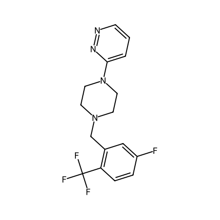 Fc1ccc(C(F)(F)F)c(CN2CCN(c3cccnn3)CC2)c1